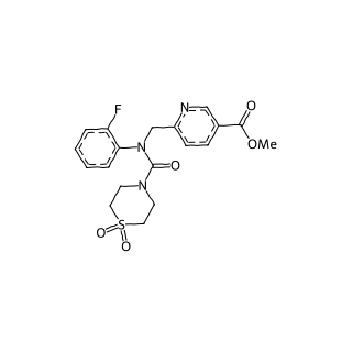 COC(=O)c1ccc(CN(C(=O)N2CCS(=O)(=O)CC2)c2ccccc2F)nc1